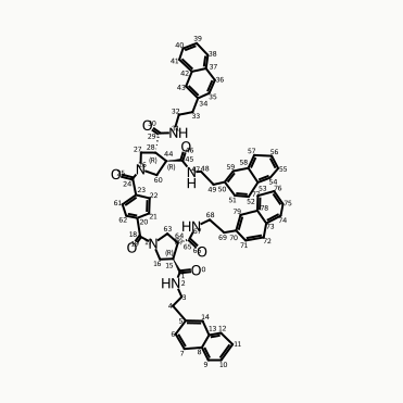 O=C(NCCc1ccc2ccccc2c1)[C@H]1CN(C(=O)c2ccc(C(=O)N3C[C@H](C(=O)NCCc4ccc5ccccc5c4)[C@@H](C(=O)NCCc4ccc5ccccc5c4)C3)cc2)C[C@@H]1C(=O)NCCc1ccc2ccccc2c1